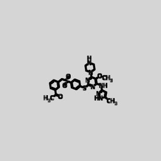 COc1c(Nc2cc(C)[nH]n2)nc(Sc2ccc(S(=O)(=O)Cc3cccc(C(C)=O)c3)cc2)nc1N1CCNCC1